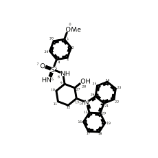 COc1ccc(S(=N)(=O)NC2CCCC(n3c4ccccc4c4ccccc43)C2O)cc1